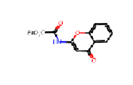 CCOC(=O)C(=O)Nc1cc(=O)c2ccccc2o1